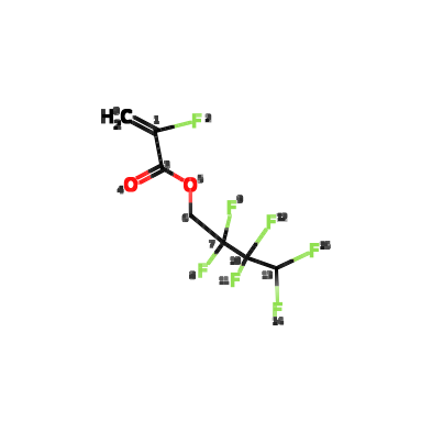 C=C(F)C(=O)OCC(F)(F)C(F)(F)C(F)F